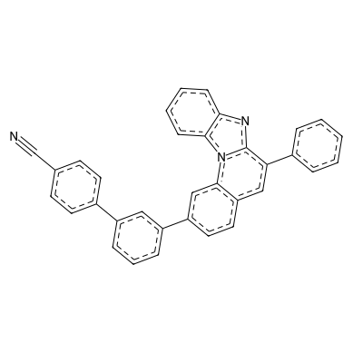 N#Cc1ccc(-c2cccc(-c3ccc4cc(-c5ccccc5)c5nc6ccccc6n5c4c3)c2)cc1